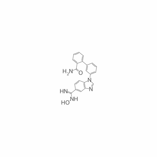 N=C(NO)c1ccc2c(c1)ncn2-c1cccc(-c2ccccc2C(N)=O)c1